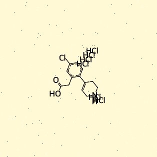 Cl.Cl.Cl.Cl.Cl.Cl.O=C(O)Cc1cc(Cl)ccc1C1=CCNCC1